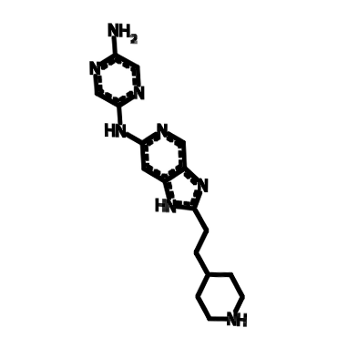 Nc1cnc(Nc2cc3[nH]c(CCC4CCNCC4)nc3cn2)cn1